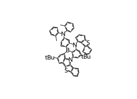 Cc1ccccc1N(c1ccc2c(c1)N(c1cccc3sc4ccccc4c13)c1cc(C(C)(C)C)cc3c1B2c1cc(C(C)(C)C)cc2c4sc5ccccc5c4n-3c12)c1ccccc1C